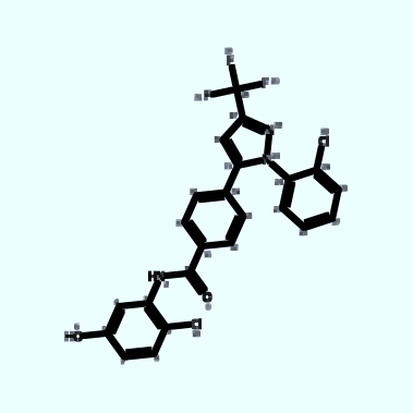 O=C(Nc1cc(O)ccc1Cl)c1ccc(-c2cc(C(F)(F)F)nn2-c2ccccc2Cl)cc1